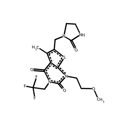 COCCn1c(=O)n(CC(F)(F)F)c(=O)c2c(C)c(CN3CCNC3=O)sc21